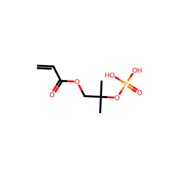 C=CC(=O)OCC(C)(C)OP(=O)(O)O